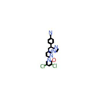 N#Cc1ccc(C(Cc2ccc(-n3cc(Cl)cc(Cl)c3=O)nc2)c2ncc[nH]2)cc1